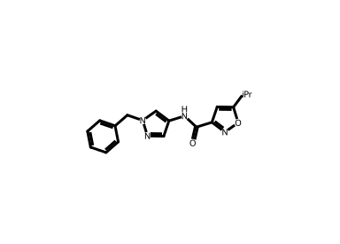 CC(C)c1cc(C(=O)Nc2cnn(Cc3ccccc3)c2)no1